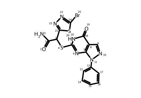 NC(=O)C(Sc1nc2c(cnn2-c2ccccc2)c(=O)[nH]1)c1nnc(Br)s1